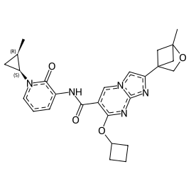 C[C@@H]1C[C@@H]1n1cccc(NC(=O)c2cn3cc(C45COC(C)(C4)C5)nc3nc2OC2CCC2)c1=O